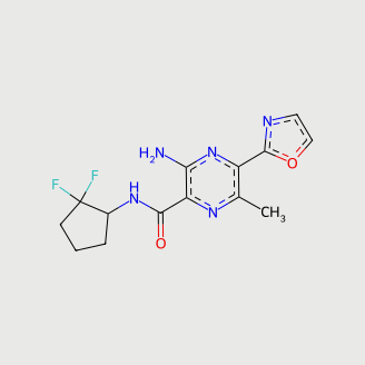 Cc1nc(C(=O)NC2CCCC2(F)F)c(N)nc1-c1ncco1